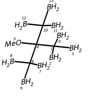 BC(B)(B)C(OC)(C(B)(B)B)C(B)(B)B